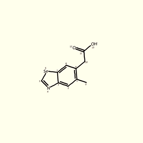 Cc1cc2nc[se]c2cc1CC(=O)O